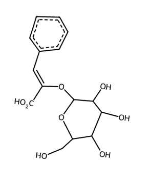 O=C(O)/C(=C/c1ccccc1)OC1OC(CO)C(O)C(O)C1O